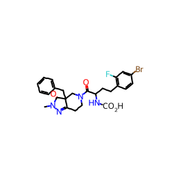 CN1N=C2CCN(C(=O)C(CCc3ccc(Br)cc3F)NC(=O)O)CC2(Cc2ccccc2)C1=O